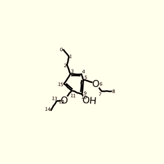 CCCc1cc(OCC)c(O)c(OCC)c1